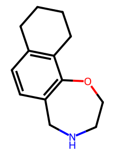 c1cc2c(c3c1CCCC3)OCCNC2